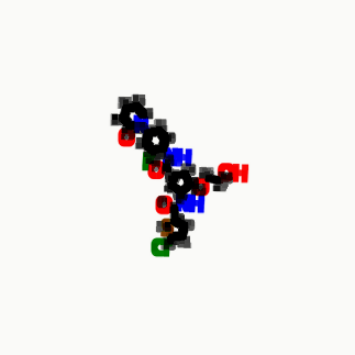 O=C(N[C@H]1C[C@H](C(=O)Nc2ccc(-n3ccccc3=O)cc2F)C[C@@H]1OCCO)c1ccc(Cl)s1